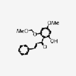 COCOc1cc(OC)cc(O)c1C(=O)/C=C/c1ccccc1